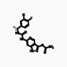 C[C@@H](NC(=O)Nc1cc2[nH]nc(OC(N)=O)c2cn1)c1ccc(F)c(Cl)c1